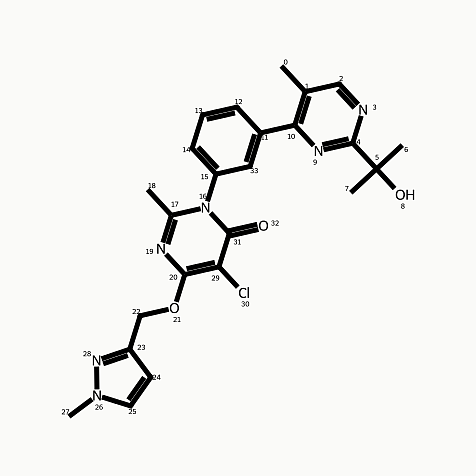 Cc1cnc(C(C)(C)O)nc1-c1cccc(-n2c(C)nc(OCc3ccn(C)n3)c(Cl)c2=O)c1